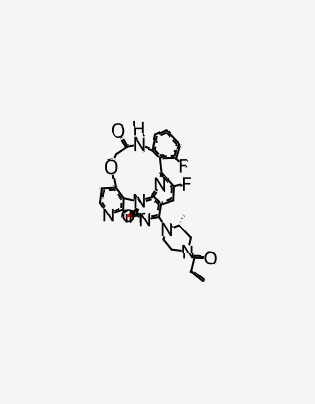 C=CC(=O)N1CCN(c2nc(=O)n3c4nc(c(F)cc24)-c2c(F)cccc2NC(=O)COc2ccnc(C(C)C)c2-3)[C@H](C)C1